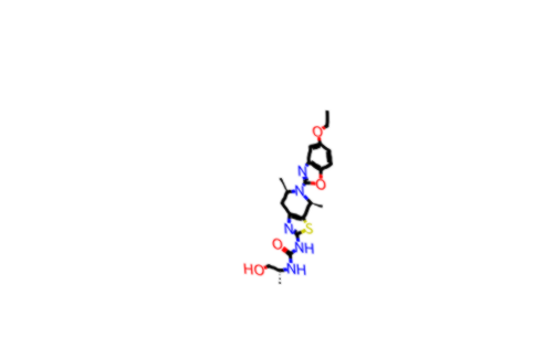 CCOc1ccc2oc(N3[C@H](C)Cc4nc(NC(=O)N[C@H](C)CO)sc4[C@@H]3C)nc2c1